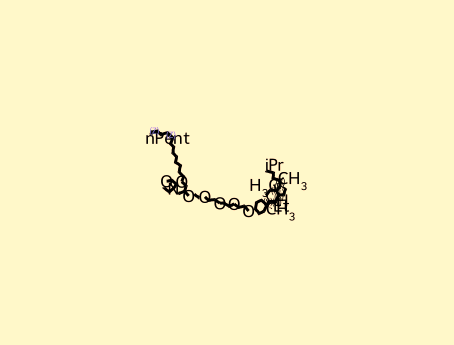 CCCCC/C=C\C/C=C\CCCCCCCCOCC(CN1CCOCC1)OCCOCCOCCOCCO[C@H]1CC[C@](C)([C@H]2CC[C@]3(C)[C@@H]([C@H](C)CCCC(C)C)CC[C@H]3[C@@H]2CC)CC1